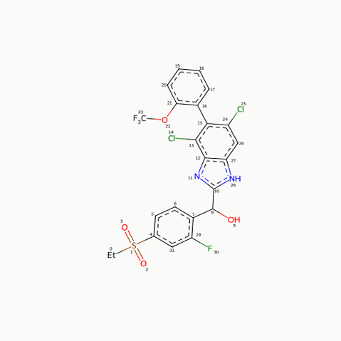 CCS(=O)(=O)c1ccc(C(O)c2nc3c(Cl)c(-c4ccccc4OC(F)(F)F)c(Cl)cc3[nH]2)c(F)c1